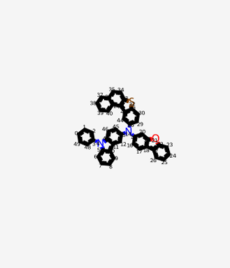 c1ccc(-n2c3ccccc3c3cc(N(c4ccc5c(c4)oc4ccccc45)c4ccc5sc6ccc7ccccc7c6c5c4)ccc32)cc1